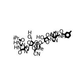 COC1C(O)[C@@H](COP(=S)(OCCC#N)OC2C(OC)[C@H](n3cnc4c(=O)[nH]c(NC(=O)C(C)C)nc43)O[C@@H]2CO)O[C@H]1n1cnc2c(NC(=O)c3cccc(C)c3)ncnc21